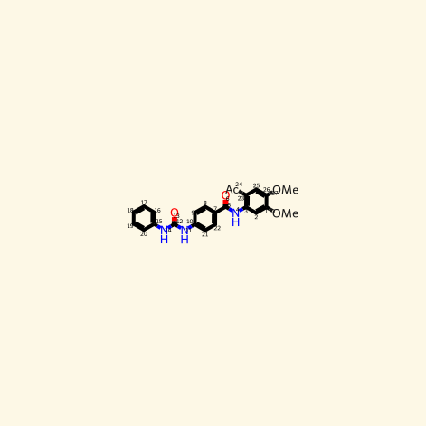 COc1cc(NC(=O)c2ccc(NC(=O)Nc3ccccc3)cc2)c(C(C)=O)cc1OC